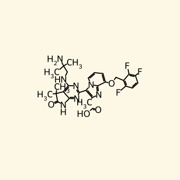 Cc1nc2c(OCc3c(F)ccc(F)c3F)cccn2c1-c1nc(NCC(C)(C)N)c2c(n1)NC(=O)C2(C)C.O=CO